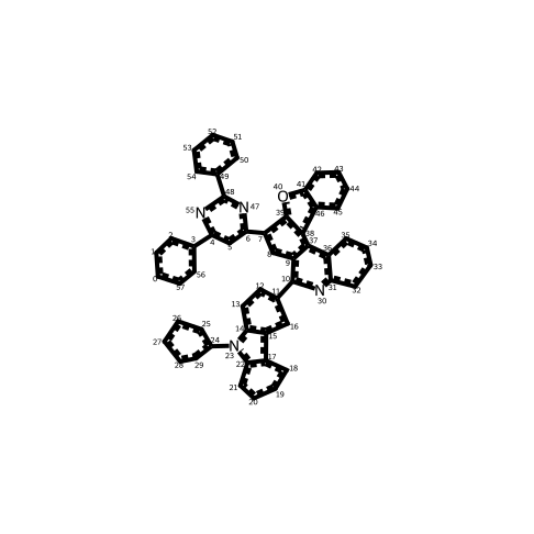 c1ccc(-c2cc(-c3cc4c(-c5ccc6c(c5)c5ccccc5n6-c5ccccc5)nc5ccccc5c4c4c3oc3ccccc34)nc(-c3ccccc3)n2)cc1